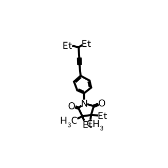 CCC(C#Cc1ccc(N2C(=O)C(C)(CC)C(C)(CC)C2=O)cc1)CC